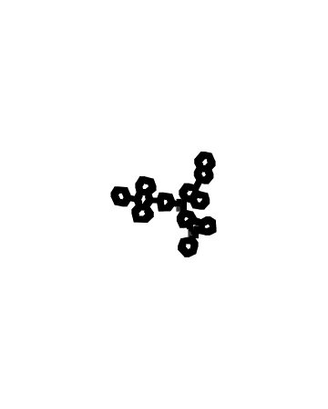 c1ccc(-c2c3ccccc3c(-c3ccc(N(c4ccc5c(c4)c4ccccc4n5-c4ccccc4)c4ccc(-c5ccc6ccccc6c5)c5ccccc45)cc3)c3ccccc23)cc1